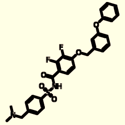 CN(C)Cc1ccc(S(=O)(=O)NC(=O)c2ccc(OCc3cccc(Oc4ccccc4)c3)c(F)c2F)cc1